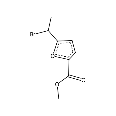 COC(=O)c1ccc(C(C)Br)o1